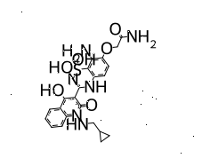 NC(=O)COc1ccc2c(c1N)S(O)(O)N=C(c1c(O)c3ccccc3n(NCC3CC3)c1=O)N2